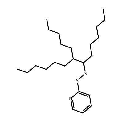 CCCCCCC(CCCCC)C(CCCCCC)SSc1ccccn1